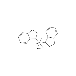 [CH3][Zr]1([CH3])([CH]2CCC3C=CC=CC32)([CH]2CCC3C=CC=CC32)[CH2][CH2]1